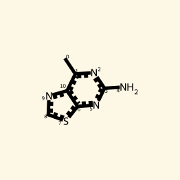 Cc1nc(N)nc2scnc12